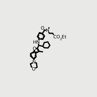 CCOC(=O)CCN(C)C(=O)c1ccc(NC(c2oc3ccc(N4CCOCC4)cc3c2C)C2CCCCC2)cc1